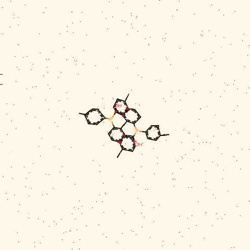 Cc1ccc(P(c2ccc(C)cc2)c2cccc(CO)c2-c2c(CO)cccc2P(c2ccc(C)cc2)c2ccc(C)cc2)cc1